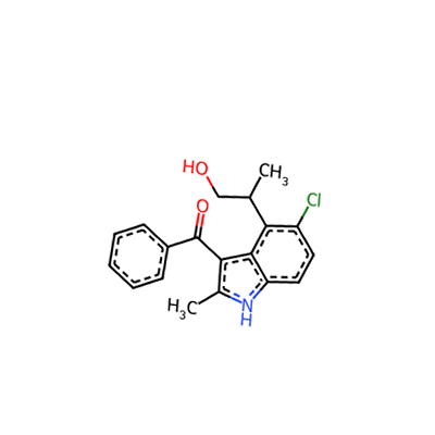 Cc1[nH]c2ccc(Cl)c(C(C)CO)c2c1C(=O)c1ccccc1